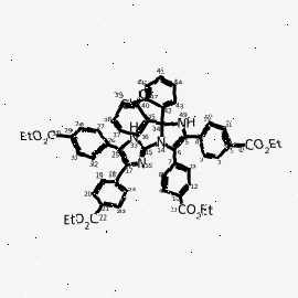 CCOC(=O)c1ccc(C2=C(c3ccc(C(=O)OCC)cc3)N(c3nc(-c4ccc(C(=O)OCC)cc4)c(-c4ccc(C(=O)OCC)cc4)[nH]3)C(c3ccccc3Cl)(c3ccccc3Cl)N2)cc1